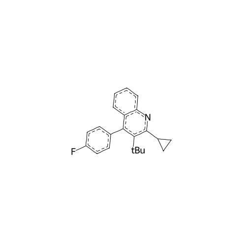 CC(C)(C)c1c(C2CC2)nc2ccccc2c1-c1ccc(F)cc1